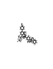 CC(C)(C)OC(=O)Nc1ccc(-c2ccc(F)cc2)cc1NC(=O)c1ccc(S(=N)(=O)c2ccccn2)cc1